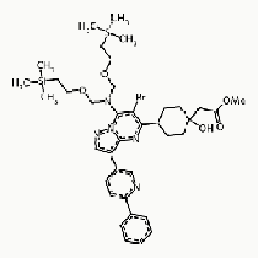 COC(=O)C[C@]1(O)CC[C@@H](c2nc3c(-c4ccc(-c5ccccc5)nc4)cnn3c(N(COCC[Si](C)(C)C)COCC[Si](C)(C)C)c2Br)CC1